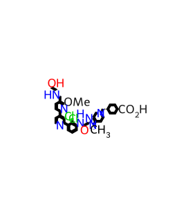 COc1nc(-c2ccnc(-c3cccc(NC(=O)c4nc5c(n4C)CCN(C[C@H]4CC[C@H](C(=O)O)CC4)C5)c3Cl)c2Cl)ccc1CNCCO